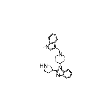 Cn1cc(CN2CCC(n3c(C4CCNC4)nc4ccccc43)CC2)c2ccccc21